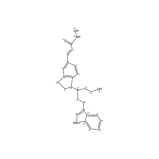 O=C(C=Cc1ccc2c(c1)CCC2N(CCO)CCc1c[nH]c2ccccc12)NO